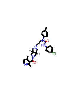 Cc1ccc(N(CCCN2C[C@@H]3CN(C(=O)c4c(C)ccnc4C)C[C@@H]3C2)C(=O)Nc2ccc(Cl)cc2)cc1